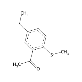 CCc1ccc(SC)c(C(C)=O)c1